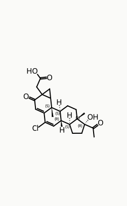 CC(=O)[C@@]1(O)CC[C@H]2[C@@H]3C=C(Cl)C4=CC(=O)C5(CC(=O)O)CC5[C@]4(C)[C@H]3CC[C@@]21C